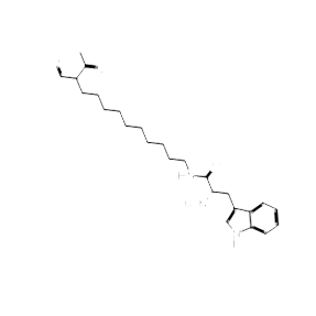 CC(=O)C([C]=O)CCCCCCCCCCNC(=O)[C@@H](N)Cc1c[nH]c2ccccc12